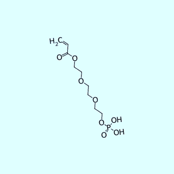 C=CC(=O)OCCOCCOCCOP(=O)(O)O